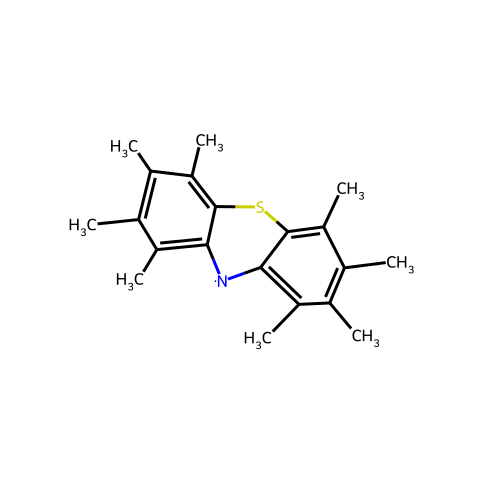 Cc1c(C)c(C)c2c(c1C)[N]c1c(C)c(C)c(C)c(C)c1S2